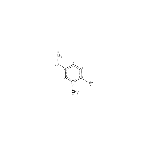 [CH2]c1cc(OC(F)(F)F)ccc1CCC